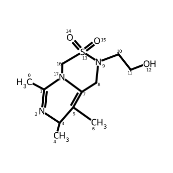 CC1=NC(C)C(C)=C2CN(CCO)S(=O)(=O)CN12